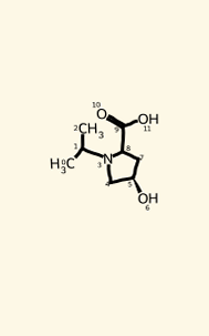 CC(C)N1C[C@H](O)CC1C(=O)O